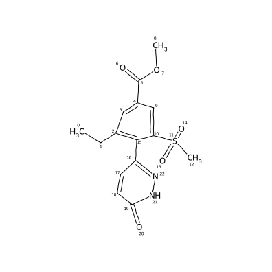 CCc1cc(C(=O)OC)cc(S(C)(=O)=O)c1-c1ccc(=O)[nH]n1